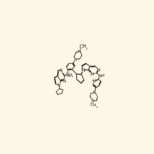 CN1CCN(c2ccc(Nc3ncc4ccn(C5CCCC5c5cc(N6CCN(C)CC6)ccc5Nc5ncc6ccn(C7CCCC7)c6n5)c4n3)nc2)CC1